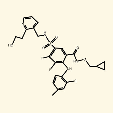 O=C(NOCC1CC1)c1cc(S(=O)(=O)NCc2cccnc2CCO)c(F)c(F)c1Nc1ccc(I)cc1Cl